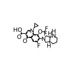 O=C(O)c1cn(C2CC2)c2c(OC(F)F)c(N3C[C@H]4CCCN[C@H]4C3)c(F)cc2c1=O